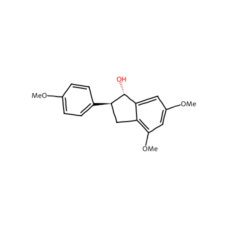 COc1ccc([C@@H]2Cc3c(OC)cc(OC)cc3[C@H]2O)cc1